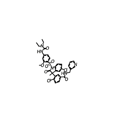 CCN(CC)C(=O)Nc1ccc(S(=O)(=O)N2C(=O)C(C)(c3cc(C(=O)NCc4cccnc4)ccc3Cl)c3cc(Cl)ccc32)c(OC)c1